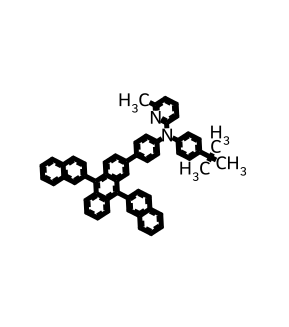 Cc1cccc(N(c2ccc(-c3ccc4c(-c5ccc6ccccc6c5)c5ccccc5c(-c5ccc6ccccc6c5)c4c3)cc2)c2ccc(C(C)(C)C)cc2)n1